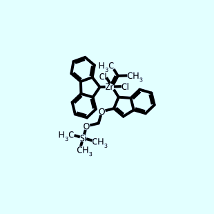 C[C](C)=[Zr]([Cl])([Cl])([CH]1C(OCO[Si](C)(C)C)=Cc2ccccc21)[CH]1c2ccccc2-c2ccccc21